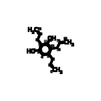 C=CCc1cc(O)c(CC=C)c(O)c1CC=C